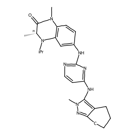 CC(C)N1c2cc(Nc3nccc(Nc4c5c(nn4C)CCCC5)n3)ccc2N(C)C(=O)[C@H]1C